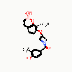 Cc1cc(C(=O)N2CC(Oc3ccc4c(c3C(=O)O)OB(O)CC4)C2)ccc1O